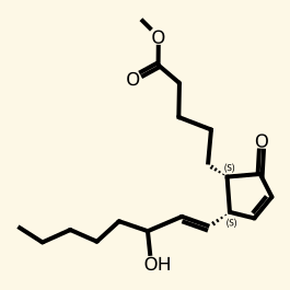 CCCCCC(O)C=C[C@H]1C=CC(=O)[C@H]1CCCCC(=O)OC